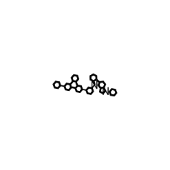 c1ccc(-c2ccc3c4ccc(-c5cccc(-n6c7ccccc7c7ccc8c(ccn8-c8ccccc8)c76)c5)cc4c4ccccc4c3c2)cc1